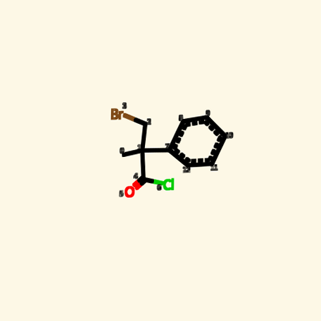 CC(CBr)(C(=O)Cl)c1ccccc1